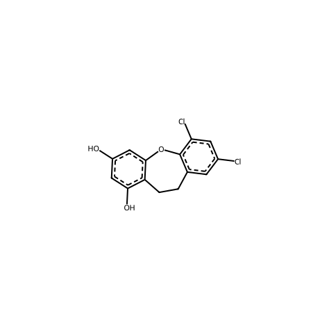 Oc1cc(O)c2c(c1)Oc1c(Cl)cc(Cl)cc1CC2